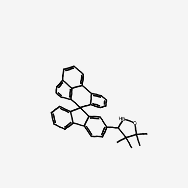 CC1(C)OBC(c2ccc3c(c2)C2(c4ccccc4-3)c3ccccc3-c3cccc4cccc2c34)C1(C)C